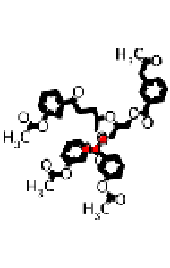 CC(=O)Cc1cccc(C(=O)OCC(COC(=O)c2cccc(OC(C)=O)c2)OC(CCC(=O)c2cccc(OC(C)=O)c2)COC(=O)c2cccc(OC(C)=O)c2)c1